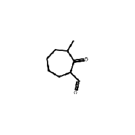 CC1CCCCC(C=O)C1=O